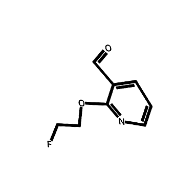 O=Cc1cccnc1OCCF